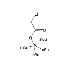 CCCCP(CCCC)(CCCC)(CCCC)OC(=O)CCl